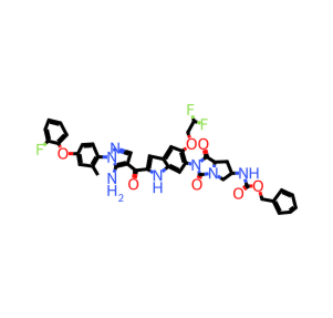 Cc1cc(Oc2ccccc2F)ccc1-n1ncc(C(=O)c2cc3cc(OCC(F)F)c(N4C(=O)C5CC(NC(=O)OCc6ccccc6)CN5C4=O)cc3[nH]2)c1N